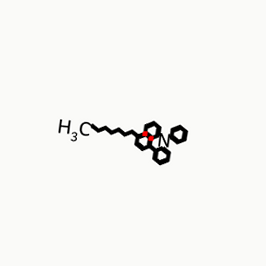 CCCCCCCCc1ccc(-c2ccccc2N(c2ccccc2)c2ccccc2)cc1